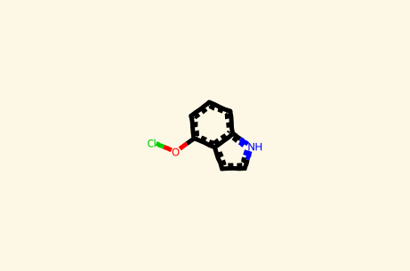 ClOc1cccc2[nH]ccc12